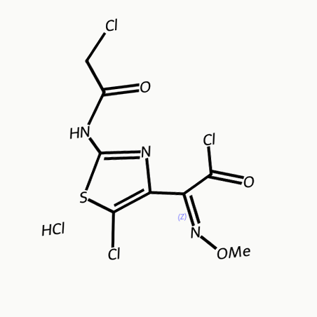 CO/N=C(\C(=O)Cl)c1nc(NC(=O)CCl)sc1Cl.Cl